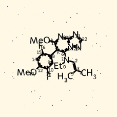 CCN(C=C(C)C)c1c(-c2cc(F)c(OC)cc2F)c(OC)nc2ncnn12